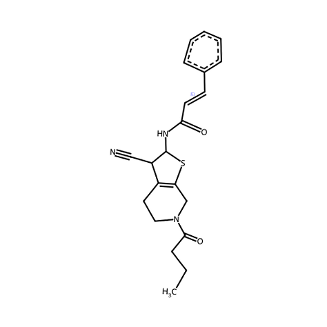 CCCC(=O)N1CCC2=C(C1)SC(NC(=O)/C=C/c1ccccc1)C2C#N